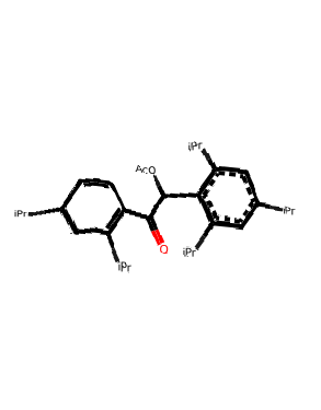 CC(=O)OC(C(=O)C1=C(C(C)C)[CH]C(C(C)C)C=C1)c1c(C(C)C)cc(C(C)C)cc1C(C)C